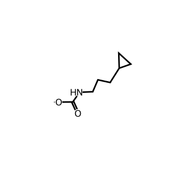 [O]C(=O)NCCCC1CC1